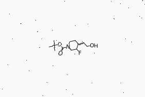 CC(C)(C)OC(=O)N1CCC(=CCO)C(F)C1